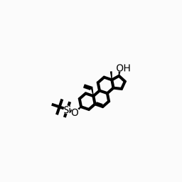 C=C[C@]12CC[C@H](O[Si](C)(C)C(C)(C)C)CC1=CCC1C2CC[C@@]2(C)C1CC[C@@H]2O